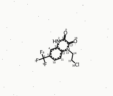 O=c1[nH]c2cc(C(F)(F)F)ccc2n(CCCl)c1=O